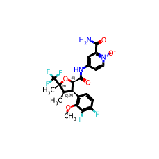 COc1c([C@H]2[C@@H](C)[C@](C)(C(F)(F)F)O[C@H]2C(=O)Nc2cc[n+]([O-])c(C(N)=O)c2)ccc(F)c1F